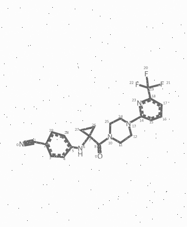 N#Cc1ccc(NC2(C(=O)N3CCN(c4cccc(C(F)(F)F)n4)CC3)CC2)cc1